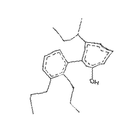 CCCc1cccc(-c2c(O)cccc2C(C)CC)c1CCC